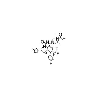 C=CC(=O)N1[C@H](C)CN(c2nc(=O)n3c4c(c(-c5ccc(F)cc5)c(C(F)(F)F)cc24)SC[C@H](c2ccsc2)C3)C[C@@H]1C